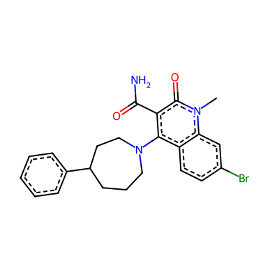 Cn1c(=O)c(C(N)=O)c(N2CCCC(c3ccccc3)CC2)c2ccc(Br)cc21